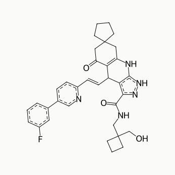 O=C1CC2(CCCC2)CC2=C1C(C=Cc1ccc(-c3cccc(F)c3)cn1)c1c(C(=O)NCC3(CO)CCC3)n[nH]c1N2